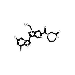 O=C1CN(C(=O)c2cc3c(cn2)c(-c2cnc4c(F)cc(F)cn24)nn3CC(F)(F)F)CCCN1